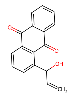 C=CC(O)c1cccc2c1C(=O)c1ccccc1C2=O